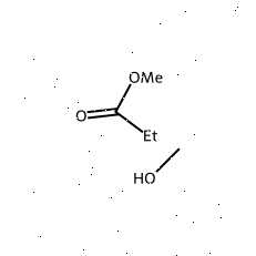 CCC(=O)OC.CO